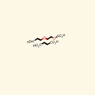 CCCCCCCCCCCCOCCOS(=O)(=O)O.O=C(O)CCC(=O)O